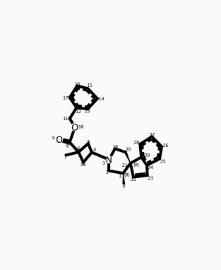 C[C@H]1CN(C2CC(C)(C(=O)OCc3ccccc3)C2)CC[C@@]12C=Cc1ccccc12